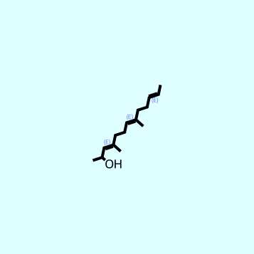 C/C=C/CC/C(C)=C/CC/C(C)=C/C(C)O